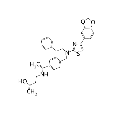 C=C(O)CCNC(=C)c1ccc(CN(CCc2ccccc2)c2nc(-c3ccc4c(c3)OCO4)cs2)cc1